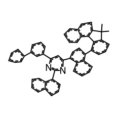 CC1(C)c2cccc(-c3ccc(-c4cc(-c5cccc(-c6ccccc6)c5)nc(-c5cccc6ccccc56)n4)c4ccccc34)c2-c2c1ccc1ccccc21